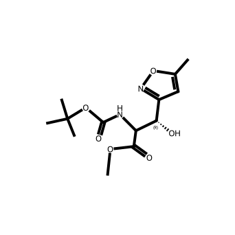 COC(=O)C(NC(=O)OC(C)(C)C)[C@@H](O)c1cc(C)on1